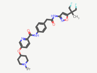 CC(C)N1CCC(Oc2ccc(C(=O)Nc3ccc(CC(=O)Nc4cc(C(C)(CF)CF)on4)cc3)nc2)CC1